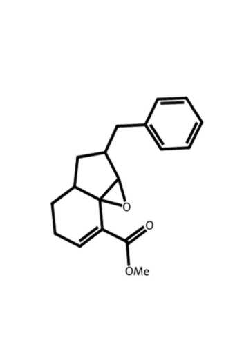 COC(=O)C1=CCCC2CC(Cc3ccccc3)C3OC123